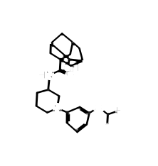 O=C(NC1CCCN(c2cccc(OC(F)F)c2)C1)C12CC3CC(C1)C(O)C(C3)C2